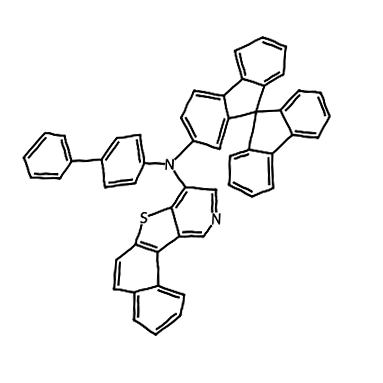 c1ccc(-c2ccc(N(c3ccc4c(c3)C3(c5ccccc5-c5ccccc53)c3ccccc3-4)c3cncc4c3sc3ccc5ccccc5c34)cc2)cc1